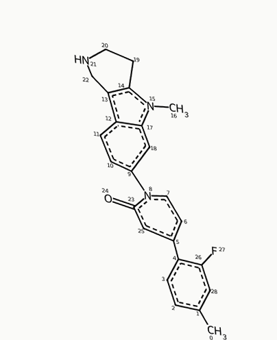 Cc1ccc(-c2ccn(-c3ccc4c5c(n(C)c4c3)CCNC5)c(=O)c2)c(F)c1